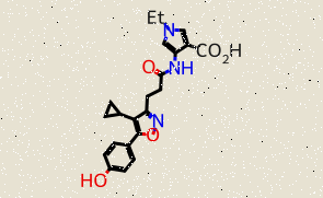 CCn1cc(NC(=O)CCc2noc(-c3ccc(O)cc3)c2C2CC2)c(C(=O)O)c1